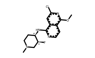 COc1nc(Cl)cc2c(N[C@@H]3CCN(C)C[C@@H]3F)nccc12